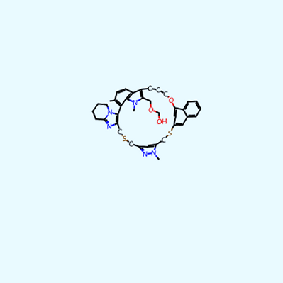 Cc1ccc2c3c(COCO)n(C)c2c1-c1c(nc2n1CCCC2)CSCc1cc(n(C)n1)CSc1cc(c2ccccc2c1)OCCC3